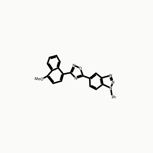 COc1ccc(-c2noc(-c3ccc4c(c3)nnn4C(C)C)n2)c2ccccc12